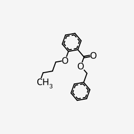 CCCCOc1ccccc1C(=O)OCc1ccccc1